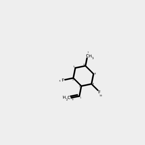 C=CC1C(F)CC(C)CC1F